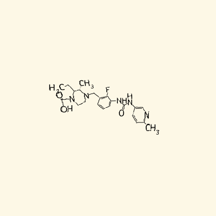 CCC1[C@H](C)N(Cc2cccc(NC(=O)Nc3ccc(C)nc3)c2F)CCN1C(=O)O